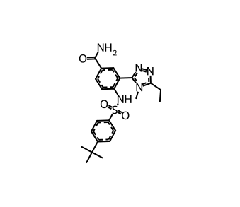 CCc1nnc(-c2cc(C(N)=O)ccc2NS(=O)(=O)c2ccc(C(C)(C)C)cc2)n1C